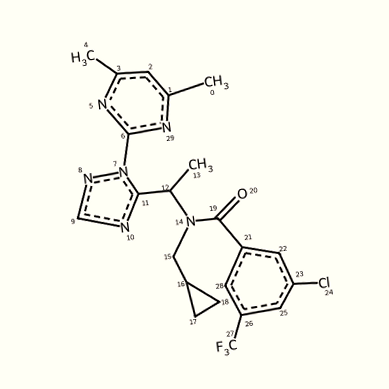 Cc1cc(C)nc(-n2ncnc2C(C)N(CC2CC2)C(=O)c2cc(Cl)cc(C(F)(F)F)c2)n1